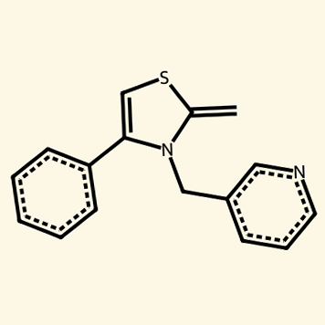 C=C1SC=C(c2ccccc2)N1Cc1cccnc1